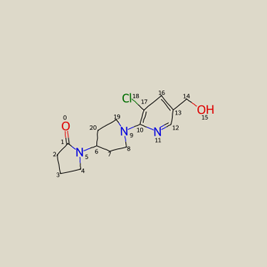 O=C1CCCN1C1CCN(c2ncc(CO)cc2Cl)CC1